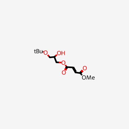 COC(=O)/C=C/C(=O)OCC(O)COC(C)(C)C